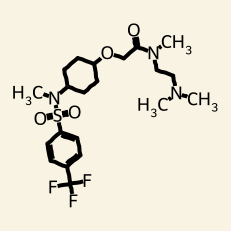 CN(C)CCN(C)C(=O)COC1CCC(N(C)S(=O)(=O)c2ccc(C(F)(F)F)cc2)CC1